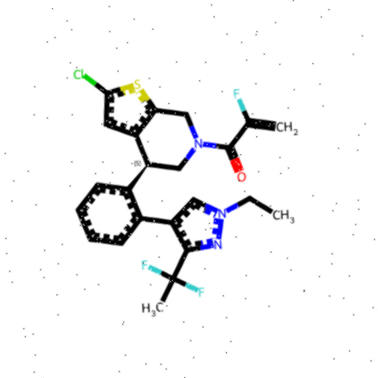 C=C(F)C(=O)N1Cc2sc(Cl)cc2[C@H](c2ccccc2-c2cn(CC)nc2C(C)(F)F)C1